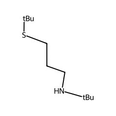 CC(C)(C)NCCCSC(C)(C)C